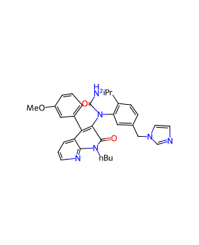 CCCCn1c(=O)c(N(C(N)=O)c2cc(Cn3ccnc3)ccc2C(C)C)c(-c2cccc(OC)c2)c2cccnc21